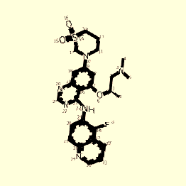 C[C@H](CN(C)C)Oc1cc(N2CCCS(=O)(=O)C2)cc2ncnc(Nc3ccc4ncccc4c3F)c12